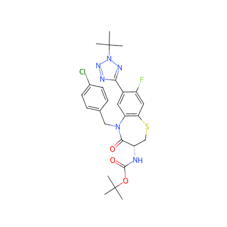 CC(C)(C)OC(=O)N[C@H]1CSc2cc(F)c(-c3nnn(C(C)(C)C)n3)cc2N(Cc2ccc(Cl)cc2)C1=O